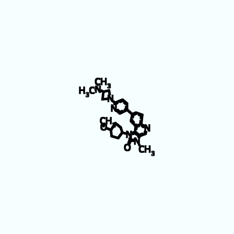 COC1CCC(n2c(=O)n(C)c3cnc4ccc(-c5ccc(N6CC(N(C)C)C6)nc5)cc4c32)CC1